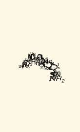 Nc1ncc(-c2ccc3cnc(NC(=O)c4ccnc(C5=CCN(I)CC5)c4)cc3c2)s1